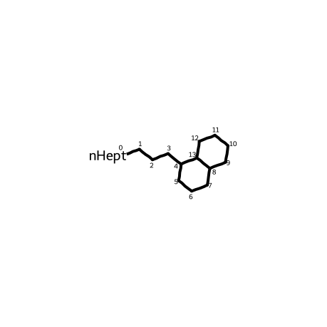 CCCCCCCCCCC1CCCC2CCCCC12